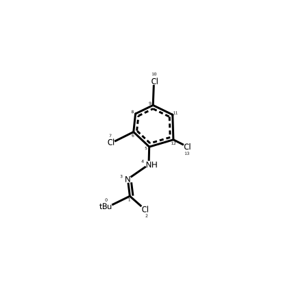 CC(C)(C)C(Cl)=NNc1c(Cl)cc(Cl)cc1Cl